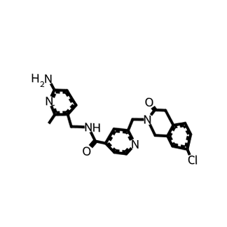 Cc1nc(N)ccc1CNC(=O)c1ccnc(CN2Cc3cc(Cl)ccc3CC2=O)c1